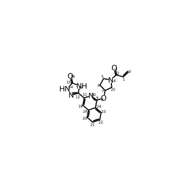 C=CC(=O)N1CCC(Oc2nc(-c3n[nH]c(=O)[nH]3)cc3ccccc23)C1